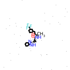 C[C@@H](NC(=O)[C@H]1C[C@@H]1c1nc2ccccc2[nH]1)c1cc2cc(C(F)(F)F)ccc2o1